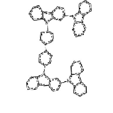 c1ccc2c(c1)c1ccccc1n2-c1ccc2c3ccccc3n(-c3ccc(-c4ccc(-n5c6ccccc6c6ccc(-n7c8ccccc8c8ccccc87)cc65)cc4)cc3)c2c1